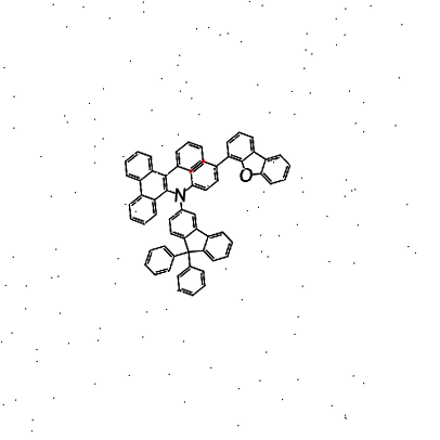 c1ccc(-c2c(N(c3ccc(-c4cccc5c4oc4ccccc45)cc3)c3ccc4c(c3)-c3ccccc3C4(c3ccccc3)c3ccccc3)c3ccccc3c3ccccc23)cc1